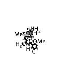 COc1ccc(Cl)cc1C(=O)NC(C)c1cc(SC)c(S(=O)(=O)NC(N)=S)s1